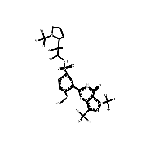 [2H]C(NS(=O)(=O)c1ccc(OCCC)c(-c2nc3c(C([2H])([2H])CC)nn(C([2H])([2H])[2H])c3c(=O)[nH]2)c1)C([2H])([2H])C1CCCN1C([2H])([2H])[2H]